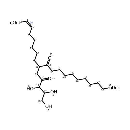 CCCCCCCC/C=C\CCCCCC(CC(=O)C(O)C(O)CO)C(=O)CCCCCCCCCCCCCCCCCCC